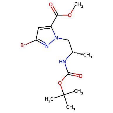 COC(=O)c1cc(Br)nn1C[C@H](C)NC(=O)OC(C)(C)C